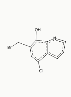 Oc1c(CBr)cc(Cl)c2cccnc12